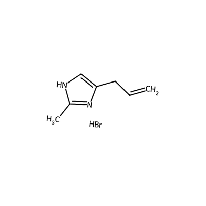 Br.C=CCc1c[nH]c(C)n1